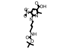 Cc1nc(N=C/C=C/CNC(=O)OC(C)(C)C)c([N+](=O)[O-])cc1C(=O)O